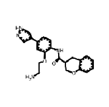 NCCOc1cc(-c2cn[nH]c2)ccc1NC(=O)C1COc2ccccc2C1